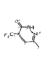 Cc1cc(C(F)(F)F)c(=O)[nH]n1